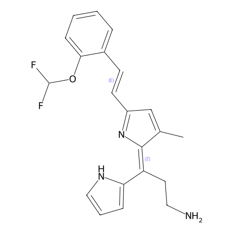 CC1=CC(/C=C/c2ccccc2OC(F)F)=NC/1=C(/CCN)c1ccc[nH]1